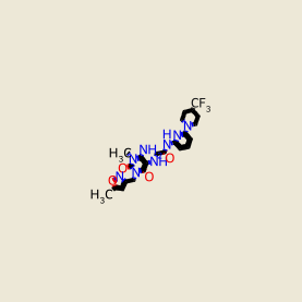 Cc1cc(Cn2c(=O)c(NCC(=O)Nc3cccc(N4CCC(C(F)(F)F)CC4)n3)c(N)n(C)c2=O)no1